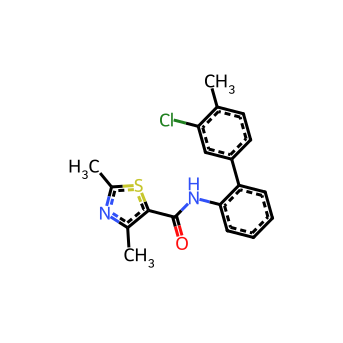 Cc1nc(C)c(C(=O)Nc2ccccc2-c2ccc(C)c(Cl)c2)s1